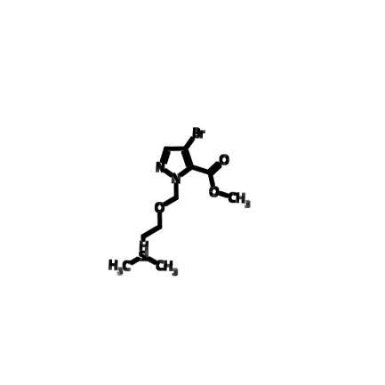 COC(=O)c1c(Br)cnn1COCC[SiH](C)C